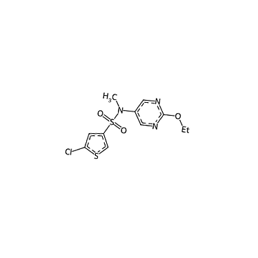 CCOc1ncc(N(C)S(=O)(=O)c2csc(Cl)c2)cn1